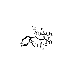 C[n+]1cnccc1CCC(P(=O)(O)O)P(=O)(O)O.[Cl-]